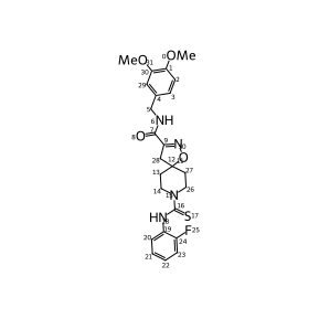 COc1ccc(CNC(=O)C2=NOC3(CCN(C(=S)Nc4ccccc4F)CC3)C2)cc1OC